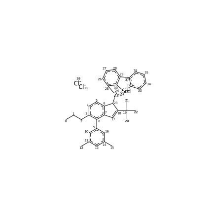 CCCc1ccc2c(c1-c1cc(C)cc(C)c1)C=C(C(C)(C)C)[CH]2[Zr+2]1[c]2cccc3c2[SiH]1c1ccccc1-3.[Cl-].[Cl-]